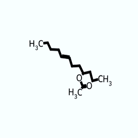 CCCCC=CCCC(CCC)OC(C)=O